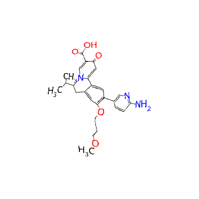 COCCCOc1cc2c(cc1-c1ccc(N)nc1)-c1cc(=O)c(C(=O)O)cn1C(C(C)C)C2